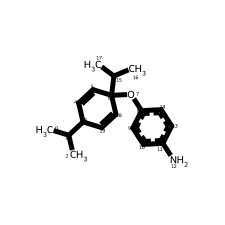 CC(C)C1C=CC(Oc2ccc(N)cc2)(C(C)C)C=C1